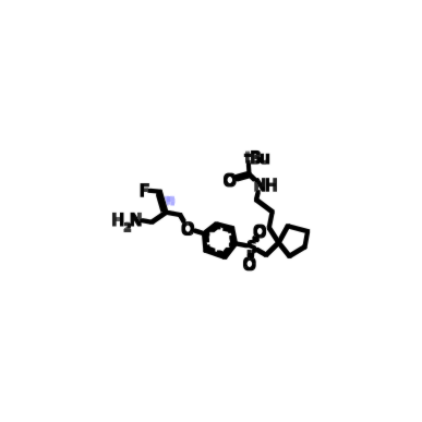 CC(C)(C)C(=O)NCCCC1(CS(=O)(=O)c2ccc(OC/C(=C/F)CN)cc2)CCCC1